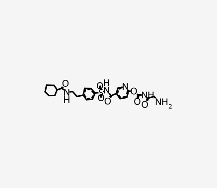 NCC(=O)NC(=O)Oc1ccc(C(=O)NS(=O)(=O)c2ccc(CCNC(=O)C3CCCCC3)cc2)cn1